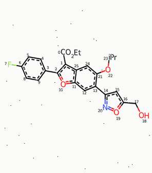 CCOC(=O)c1c(-c2ccc(F)cc2)oc2cc(-c3cc(CO)on3)c(OC(C)C)cc12